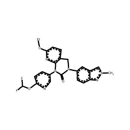 CCOc1ccc2c(n1)N(c1ccc(OC(F)F)nc1)C(=O)N(c1ccc3nn(C)cc3c1)C2